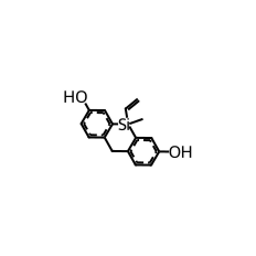 C=C[Si]1(C)c2cc(O)ccc2Cc2ccc(O)cc21